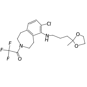 CC1(CCCNc2c(Cl)ccc3c2CCN(C(=O)C(F)(F)F)CC3)OCCO1